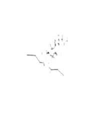 CCCOCCC.O=S(=O)([O-])[O-].[Na+].[Na+]